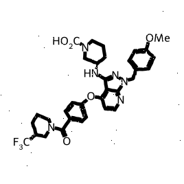 COc1ccc(Cn2nc(N[C@@H]3CCCN(C(=O)O)C3)c3c(Oc4ccc(C(=O)N5CCCC(C(F)(F)F)C5)cc4)ccnc32)cc1